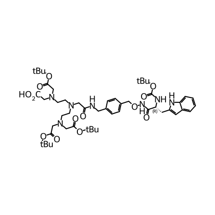 CC(C)(C)OC(=O)CN(CCN(CCN(CC(=O)OC(C)(C)C)CC(=O)OC(C)(C)C)CC(=O)NCc1ccc(CONC(=O)[C@@H](Cc2cc3ccccc3[nH]2)NC(=O)OC(C)(C)C)cc1)CC(=O)O